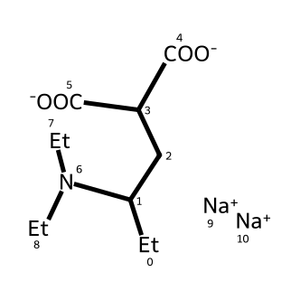 CCC(CC(C(=O)[O-])C(=O)[O-])N(CC)CC.[Na+].[Na+]